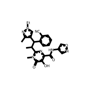 CCn1cc(C(c2ccccc2C#N)C(C)c2nc(C(=O)Nc3cnoc3)c(O)c(=O)n2C)c(C)n1